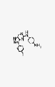 N[C@H]1CC[C@H](Nc2ncc3nnn(-c4ccc(I)cc4)c3n2)CC1